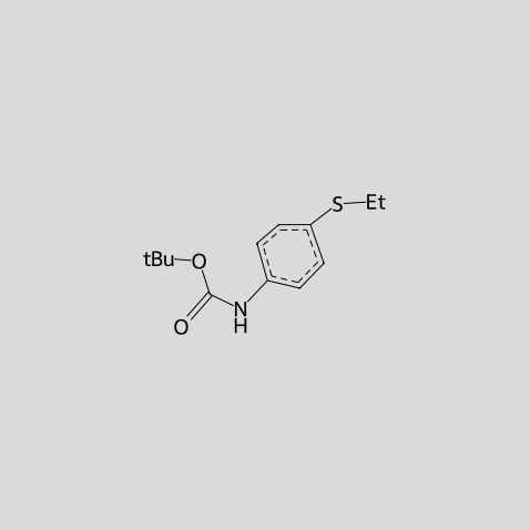 CCSc1ccc(NC(=O)OC(C)(C)C)cc1